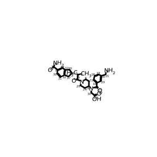 CC(C)C(=O)N1CCC(N(CC(=O)O)C(=O)c2cccc(CN)c2)CC1.NC(=O)c1ccc2c(c1)CCC2